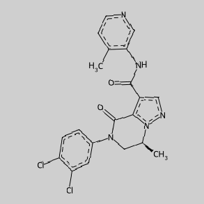 Cc1ccncc1NC(=O)c1cnn2c1C(=O)N(c1ccc(Cl)c(Cl)c1)C[C@@H]2C